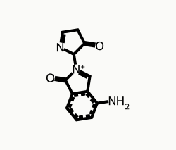 Nc1cccc2c1C=[N+](C1N=CCC1=O)C2=O